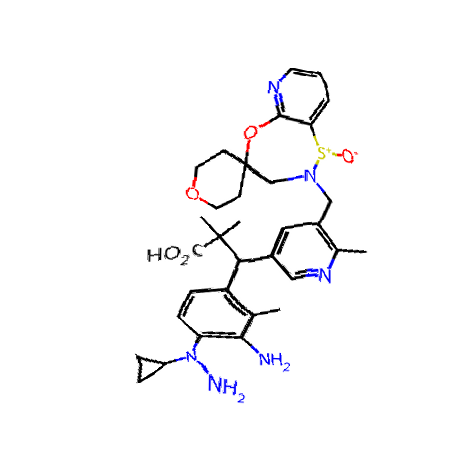 Cc1ncc(C(c2ccc(N(N)C3CC3)c(N)c2C)C(C)(C)C(=O)O)cc1CN1CC2(CCOCC2)Oc2ncccc2[S+]1[O-]